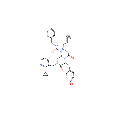 C=CCN1CC(=O)N2C(Cc3ccc(O)cc3)C(=O)N(Cc3cccnc3C3CC3)CC2N1C(=O)NCc1ccccc1